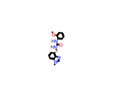 COc1ccccc1NC(=O)NSc1cccc2c1ncn2C